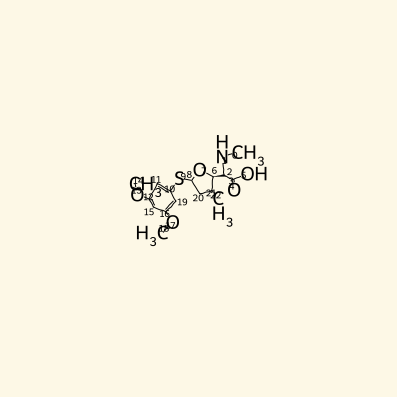 CNC(C(=O)O)[C@@H]1OC(Sc2cc(OC)cc(OC)c2)C[C@H]1C